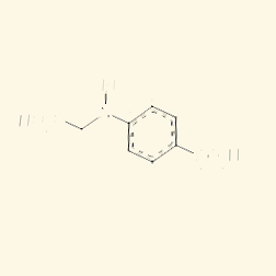 CCN(CC(=O)O)c1ccc(C(=O)O)cc1